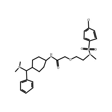 CN(C)C(c1ccccc1)C1CCC(NC(=O)COCCN(C)S(=O)(=O)c2ccc(Cl)cc2)CC1